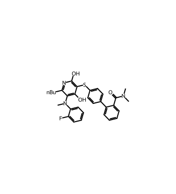 CCCCc1nc(O)c(Sc2ccc(-c3ccccc3C(=O)N(C)C)cc2)c(O)c1N(C)c1ccccc1F